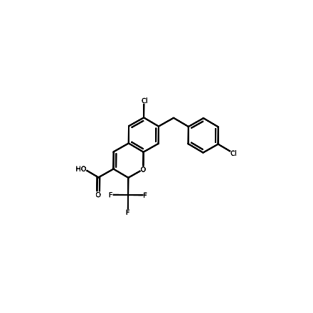 O=C(O)C1=Cc2cc(Cl)c(Cc3ccc(Cl)cc3)cc2OC1C(F)(F)F